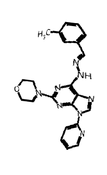 Cc1cccc(C=NNc2nc(N3CCOCC3)nc3c2ncn3-c2ccccn2)c1